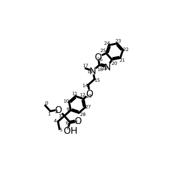 CCOC(CC)(C(=O)O)c1ccc(OCCN(C)c2nc3ccccc3o2)cc1